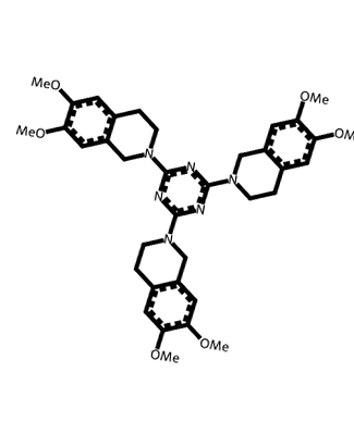 COc1cc2c(cc1OC)CN(c1nc(N3CCc4cc(OC)c(OC)cc4C3)nc(N3CCc4cc(OC)c(OC)cc4C3)n1)CC2